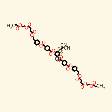 C=CC(=O)OCCOC(=O)CCC(=O)OCCc1ccc(OC(=O)C2CCC(C(=O)Oc3cc(C)c(OC(=O)C4CCC(C(=O)Oc5ccc(CCOC(=O)CCC(=O)OCCOC(=O)C=C)cc5)CC4)c4c3SC(=C(C#N)C#N)S4)CC2)cc1